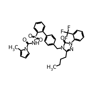 CCCCc1nn(-c2ccccc2C(F)(F)F)c(=O)n1Cc1ccc(-c2ccccc2S(=O)(=O)NC(=O)n2cccc2C)cc1